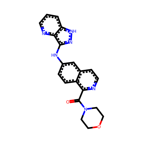 O=C(c1nccc2cc(Nc3n[nH]c4cccnc34)ccc12)N1CCOCC1